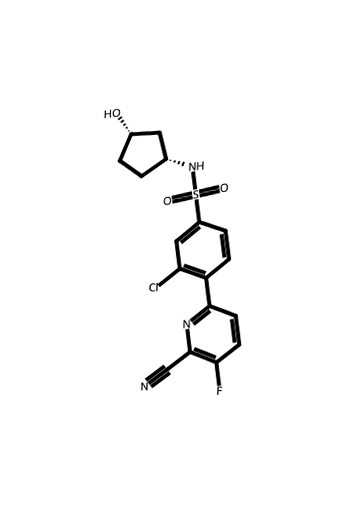 N#Cc1nc(-c2ccc(S(=O)(=O)N[C@@H]3CC[C@H](O)C3)cc2Cl)ccc1F